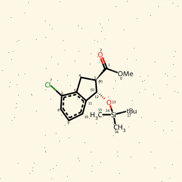 COC(=O)[C@@H]1Cc2c(Cl)cccc2[C@H]1O[Si](C)(C)C(C)(C)C